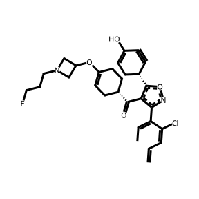 C=C/C=C(Cl)\C(=C/C)c1noc([C@H]2C#CC(O)=CC2)c1C(=O)[C@@H]1CC=C(OC2CN(CCCF)C2)CC1